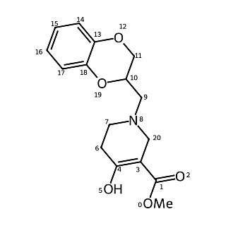 COC(=O)C1=C(O)CCN(CC2COc3ccccc3O2)C1